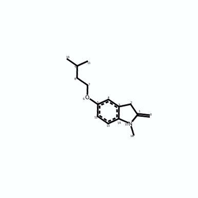 C=C1Cc2cc(OCCC(C)C)ccc2N1C